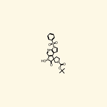 CC(C)(C)OC(=O)N1CCC2(C1)C(=O)N(O)c1cnc3c(ccn3S(=O)(=O)c3ccccc3)c12